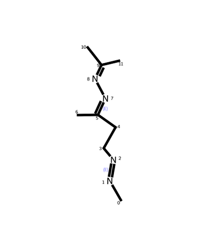 C/N=N/CC/C(C)=N/N=C(C)C